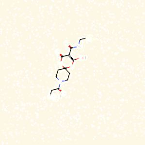 O=C(O)CNC(=O)C1=C(O)OC2(CCN(C(=O)CC(=O)O)CC2)OC1=O